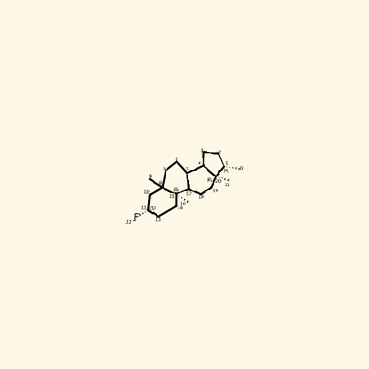 C[C@H]1CCC2C3CCC4(C)C[C@@H](F)CC[C@]4(C)C3CC[C@@]21C